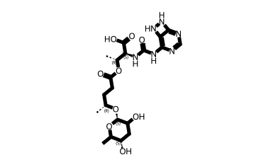 CC1O[C@H](O[C@H](C)CCC(=O)O[C@H](C)[C@H](NC(=O)Nc2ncnc3[nH][nH]c23)C(=O)O)C(O)C[C@@H]1O